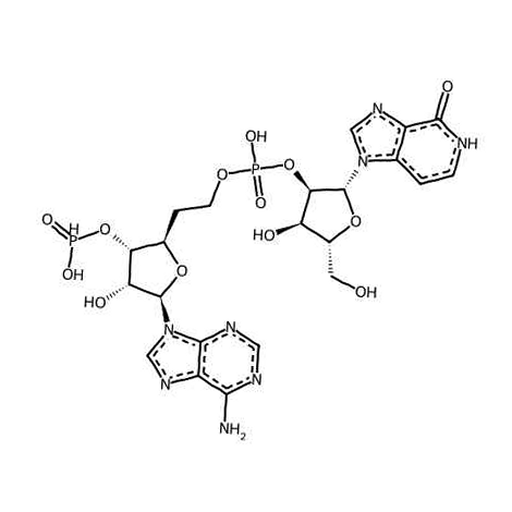 Nc1ncnc2c1ncn2[C@@H]1O[C@H](CCOP(=O)(O)O[C@@H]2[C@H](O)[C@@H](CO)O[C@H]2n2cnc3c(=O)[nH]ccc32)[C@@H](O[PH](=O)O)[C@H]1O